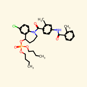 CCCCOP(=O)(OCCCC)OC1CCCN(C(=O)c2ccc(NC(=O)c3ccccc3C)cc2C)c2ccc(Cl)cc21